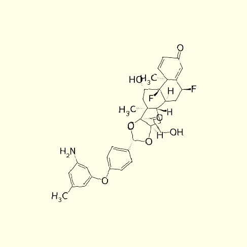 Cc1cc(N)cc(Oc2ccc([C@H]3O[C@@H]4C[C@H]5[C@@H]6C[C@H](F)C7=CC(=O)C=C[C@]7(C)[C@@]6(F)[C@@H](O)C[C@]5(C)[C@]4(C(=O)CO)O3)cc2)c1